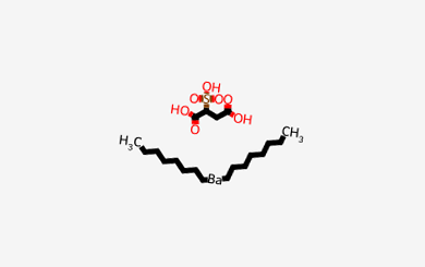 CCCCCCC[CH2][Ba][CH2]CCCCCCC.O=C(O)CC(C(=O)O)S(=O)(=O)O